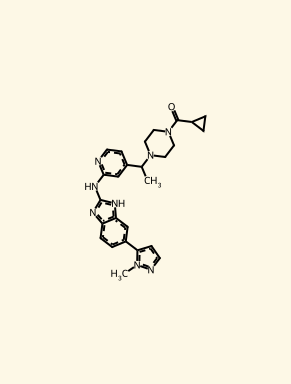 CC(c1ccnc(Nc2nc3ccc(-c4ccnn4C)cc3[nH]2)c1)N1CCN(C(=O)C2CC2)CC1